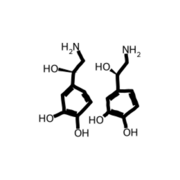 NC[C@H](O)c1ccc(O)c(O)c1.NC[C@H](O)c1ccc(O)c(O)c1